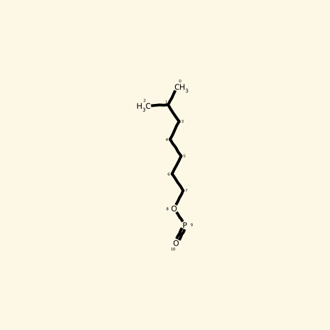 CC(C)CCCCCOP=O